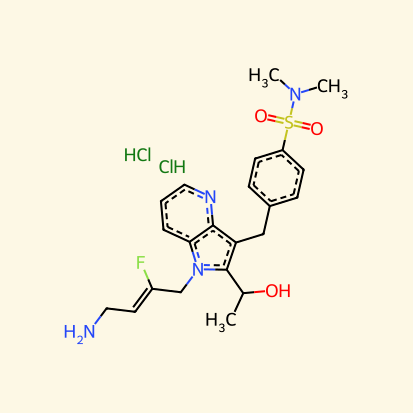 CC(O)c1c(Cc2ccc(S(=O)(=O)N(C)C)cc2)c2ncccc2n1C/C(F)=C/CN.Cl.Cl